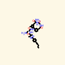 CCCC#Cc1ccc(-c2ncc(C(=O)N[C@@H](CCN)C(=O)Nc3c(C)cc4cc3-c3cccc(c3)CC(=O)NCC(=O)NC(C(N)=O)C4)c(C)n2)cc1